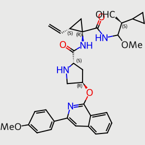 C=C[C@@H]1C[C@]1(NC(=O)[C@@H]1C[C@@H](Oc2nc(-c3ccc(OC)cc3)cc3ccccc23)CN1)C(=O)NC(OC)[C@@H](C=O)C1CC1